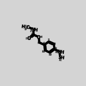 CNC(=O)OCc1ccc(NS)cc1